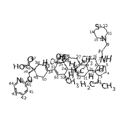 C=C(C)[C@@H]1CC[C@]2(NCCN3CCSCC3)CC[C@]3(C)[C@H](CC[C@@H]4[C@@H]5[C@@H](CC[C@]43C)C(C)(C)C(C3=CC[C@@](COc4ccccn4)(C(=O)O)CC3)=C[C@@H]5C)[C@@H]12